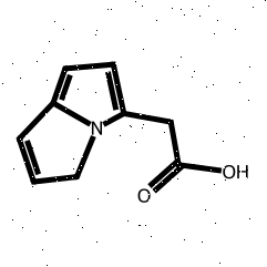 O=C(O)Cc1ccc2n1CC=C2